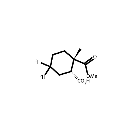 [2H]C1([2H])CC[C@](C)(C(=O)OC)[C@H](C(=O)O)C1